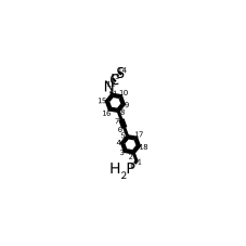 PCc1ccc(C#Cc2ccc(N=C=S)cc2)cc1